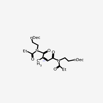 CCCCCCCCCCCCN(C(=O)/C=C(/C)C(=O)N(CCCCCCCCCCCC)C(=O)CC)C(=O)CC